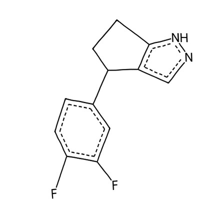 Fc1ccc(C2CCc3[nH]ncc32)cc1F